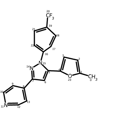 Cc1ccc(-c2cc(-c3ccncc3)nn2-c2ccc(C(F)(F)F)cc2)o1